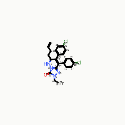 C=CCCC1Nn2c(nn(CC(C)C)c2=O)C(c2ccc(Cl)cc2)=C1c1ccc(Cl)cc1